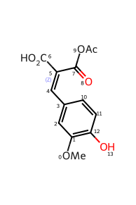 COc1cc(/C=C(/C(=O)O)C(=O)OC(C)=O)ccc1O